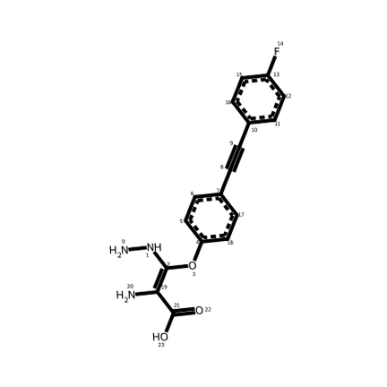 NN/C(Oc1ccc(C#Cc2ccc(F)cc2)cc1)=C(\N)C(=O)O